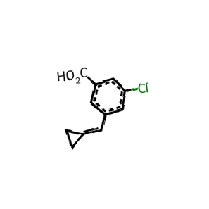 O=C(O)c1cc(Cl)cc(C=C2CC2)c1